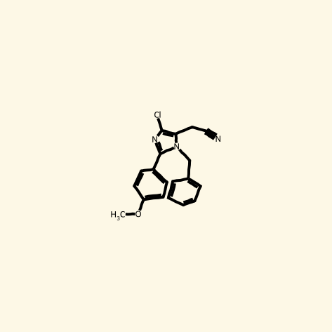 COc1ccc(-c2nc(Cl)c(CC#N)n2Cc2ccccc2)cc1